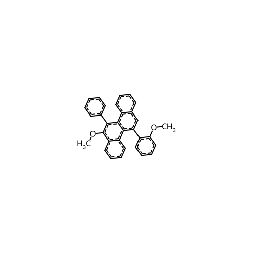 COc1ccccc1-c1cc2ccccc2c2c(-c3ccccc3)c(OC)c3ccccc3c12